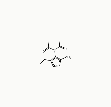 CCn1cnc(N)c1N(C(C)=O)C(C)=O